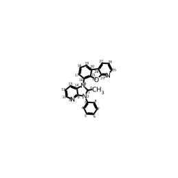 CC1N(c2ccccc2)c2ncccc2N1c1cccc2c1oc1ncccc12